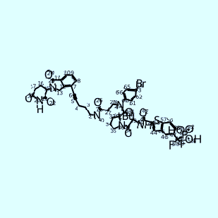 CN(CCCC#Cc1cccc2c1CN(C1CCC(=O)NC1=O)C2=O)C(=O)CCN(C(=O)[C@@H]1CCCN1C(=O)[C@@H](NC(=O)c1cc2cc(C(F)(F)P(=O)(O)O)ccc2s1)C(C)(C)C)c1ccc(Br)cc1